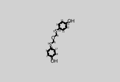 Oc1ccc(SCOCSc2ccc(O)cc2)cc1